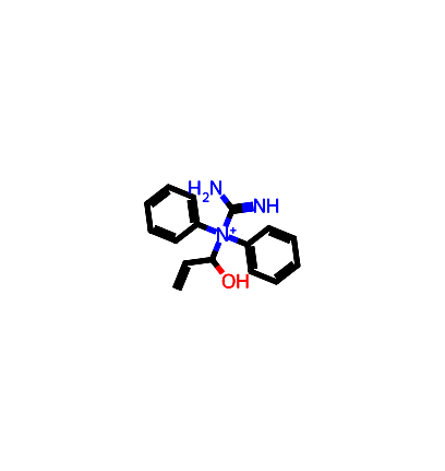 C=CC(O)[N+](C(=N)N)(c1ccccc1)c1ccccc1